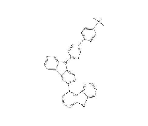 CC(C)(C)c1ccc(-c2ccc(-n3c4ccccc4c4cc(-c5cccc6oc7ccccc7c56)ccc43)cc2)cc1